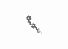 NC(=O)CCC1CCN(C=CCc2ccccc2)CC1